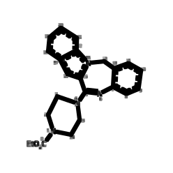 CCOC(=O)N1CCN(C2=Nc3ccccc3Cn3c2cc2ccccc23)CC1